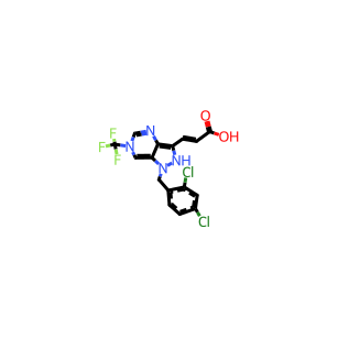 O=C(O)C=CC1=C2N=CN(C(F)(F)F)C=C2N(Cc2ccc(Cl)cc2Cl)N1